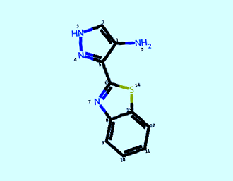 Nc1c[nH]nc1-c1nc2ccccc2s1